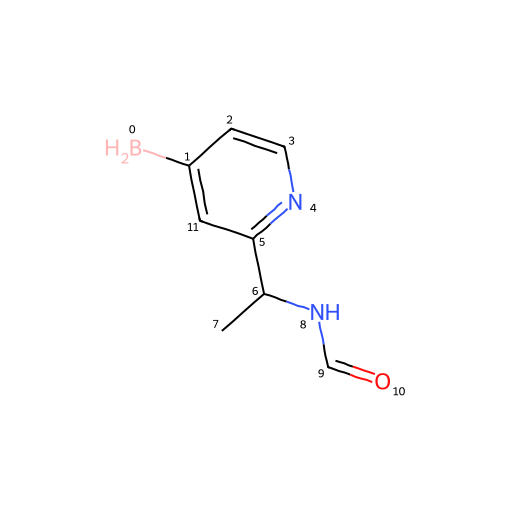 Bc1ccnc(C(C)NC=O)c1